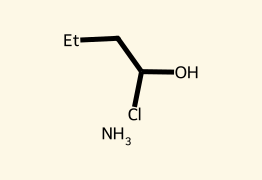 CCCC(O)Cl.N